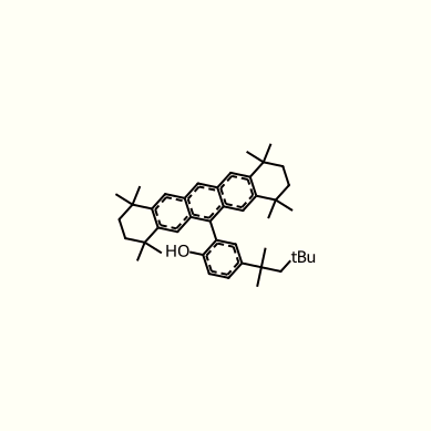 CC(C)(C)CC(C)(C)c1ccc(O)c(-c2c3cc4c(cc3cc3cc5c(cc23)C(C)(C)CCC5(C)C)C(C)(C)CCC4(C)C)c1